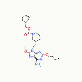 CCCCOc1nc(N)c2nc(OC)n(CCC3CCCN(C(=O)OCc4ccccc4)C3)c2n1